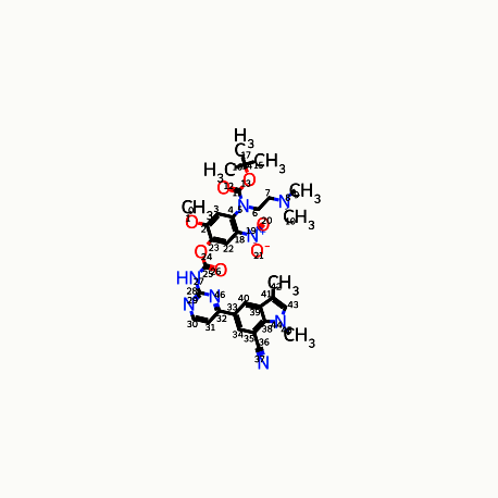 COc1cc(N(CCN(C)C)C(=O)OC(C)(C)C)c([N+](=O)[O-])cc1OC(=O)Nc1nccc(-c2cc(C#N)c3c(c2)c(C)cn3C)n1